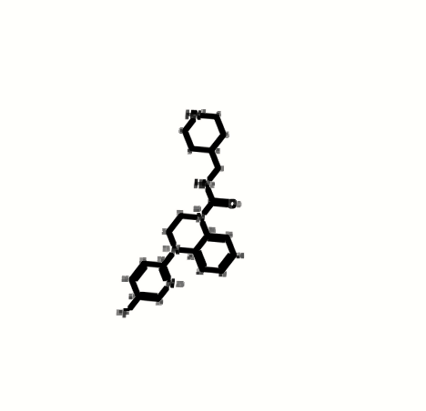 O=C(NCC1CCNCC1)N1CCN(c2ccc(F)cn2)c2ccccc21